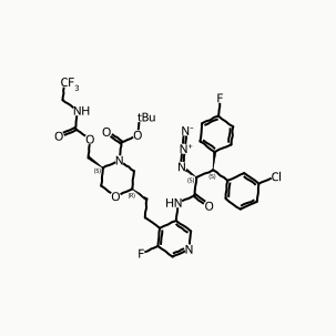 CC(C)(C)OC(=O)N1C[C@@H](CCc2c(F)cncc2NC(=O)[C@@H](N=[N+]=[N-])[C@@H](c2ccc(F)cc2)c2cccc(Cl)c2)OC[C@H]1COC(=O)NCC(F)(F)F